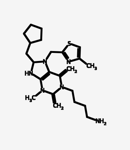 C=C1C2=C(NC(CC3CCCC3)N2Cc2nc(C)cs2)N(C)C(=C)N1CCCCN